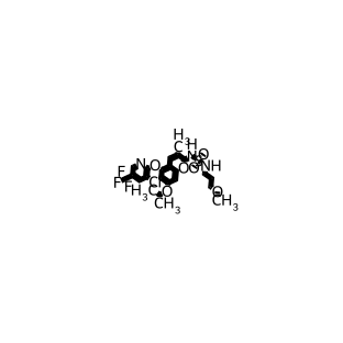 COCCCNS(=O)(=O)NC(=O)C(C)=Cc1ccc(OC(C)C)cc1Oc1ncc(C(F)(F)F)cc1Cl